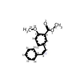 COC(=O)c1cc(/C=C\c2ccccc2)ccc1OC